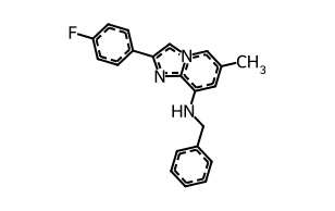 Cc1cc(NCc2ccccc2)c2nc(-c3ccc(F)cc3)cn2c1